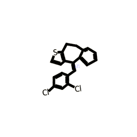 Clc1ccc(/C=C2/c3ccccc3CCc3sccc32)c(Cl)c1